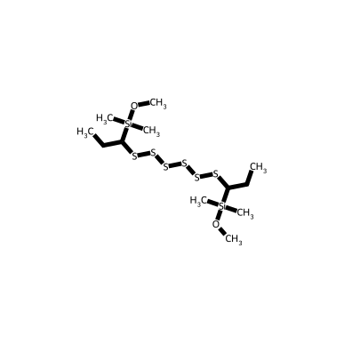 CCC(SSSSSSC(CC)[Si](C)(C)OC)[Si](C)(C)OC